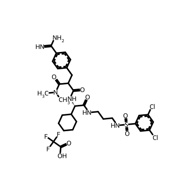 CN(C)C(=O)C(Cc1ccc(C(=N)N)cc1)C(=O)N[C@H](C(=O)NCCCNS(=O)(=O)c1cc(Cl)cc(Cl)c1)C1CCCCC1.O=C(O)C(F)(F)F